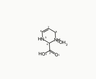 O.O=C(O)C1NC=CCN1